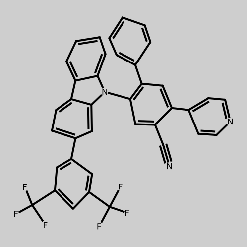 N#Cc1cc(-n2c3ccccc3c3ccc(-c4cc(C(F)(F)F)cc(C(F)(F)F)c4)cc32)c(-c2ccccc2)cc1-c1ccncc1